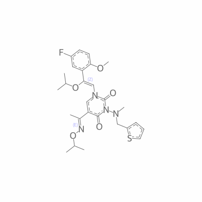 COc1ccc(F)cc1/C(=C/n1cc(/C(C)=N/OC(C)C)c(=O)n(N(C)Cc2cccs2)c1=O)OC(C)C